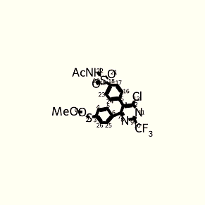 COOSc1ccc(-c2nc(C(F)(F)F)nc(Cl)c2-c2ccc(S(=O)(=O)NC(C)=O)cc2)cc1